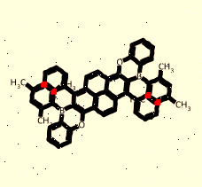 Cc1cc(C)c(B2c3ccccc3Oc3c2c(-c2ccccc2)c2ccc4c5c(c(-c6ccccc6)c6ccc3c2c46)B(c2c(C)cc(C)cc2C)c2ccccc2O5)c(C)c1